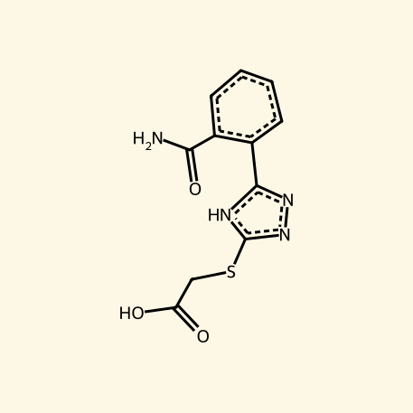 NC(=O)c1ccccc1-c1nnc(SCC(=O)O)[nH]1